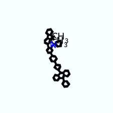 CC1(C)c2ccccc2-c2ccc3c4ccc(-c5ccc(-c6ccc(-c7c8ccccc8c(-c8ccccc8)c8ccccc78)cc6)cc5)cc4n(-c4ccccc4)c3c21